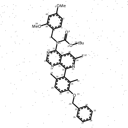 COc1ccc(CN(C(=O)OC(C)(C)C)c2ncnc3c(-c4c(C)ccc(OCc5ccccc5)c4C)nc(F)cc23)c(OC)c1